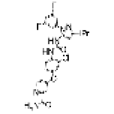 CC(C)c1cc(NC(=O)Nc2ccc(Oc3ccnc(C(N)=O)c3)cc2Cl)n(-c2cc(F)cc(F)c2)n1